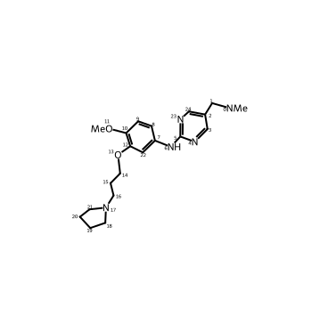 CNCc1cnc(Nc2ccc(OC)c(OCCCN3CCCC3)c2)nc1